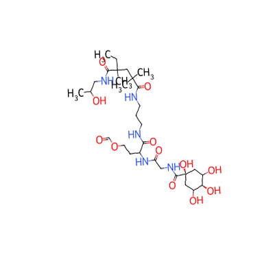 CCC(C)(CC(C)(C)C(=O)NCCCNC(=O)C(CCOC=O)NC(=O)CNC(=O)[C@]1(O)CC(O)[C@@H](O)C(O)C1)C(=O)NCC(C)O